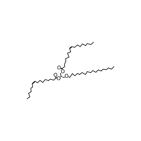 CCCCCC/C=C\CCCCCCCC(=O)O[C@H](COCCCCCCCCCCCCCCCCCC)COC(=O)CCCCCCC/C=C\CCCCCCCC